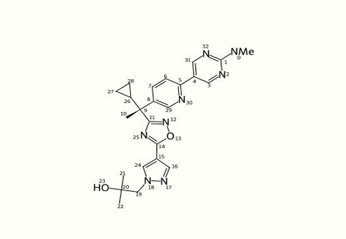 CNc1ncc(-c2ccc([C@](C)(c3noc(-c4cnn(CC(C)(C)O)c4)n3)C3CC3)cn2)cn1